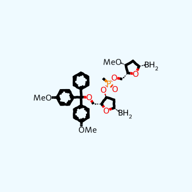 B[C@H]1C[C@@H](OC)[C@@H](COP(C)(=O)O[C@@H]2C[C@H](B)O[C@@H]2COC(c2ccccc2)(c2ccc(OC)cc2)c2ccc(OC)cc2)O1